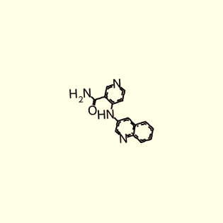 NC(=O)c1cnccc1Nc1cnc2ccccc2c1